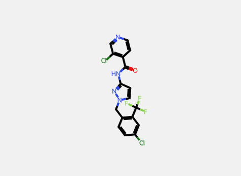 O=C(Nc1ccn(Cc2ccc(Cl)cc2C(F)(F)F)n1)c1ccncc1Cl